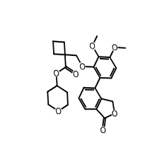 COc1ccc(-c2cccc3c2COC3=O)c(OCC2(C(=O)OC3CCOCC3)CCC2)c1OC